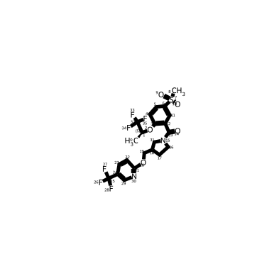 C[C@H](Oc1ccc(S(C)(=O)=O)cc1C(=O)N1CCC(COc2ccc(C(F)(F)F)cn2)C1)C(F)(F)F